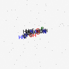 C=N/C(=C\C1=C(C)CN(S(=O)(=O)c2ccc(-n3cccn3)c(F)c2)C1)C(O)c1cccc(N2CCNCC2)c1